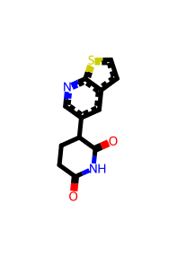 O=C1CCC(c2cnc3sccc3c2)C(=O)N1